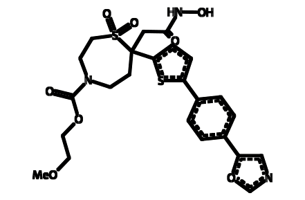 COCCOC(=O)N1CCC(CC(=O)NO)(c2ccc(-c3ccc(-c4cnco4)cc3)s2)S(=O)(=O)CC1